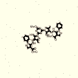 COC(=O)c1cnn(-c2ccccc2)c1N/N=C1/C(=N)N(c2nc(OC)nc(N3N=C(C)/C(=N\Nc4c(C(=O)C=O)cnn4-c4ccccc4)C3=N)n2)N=C1C